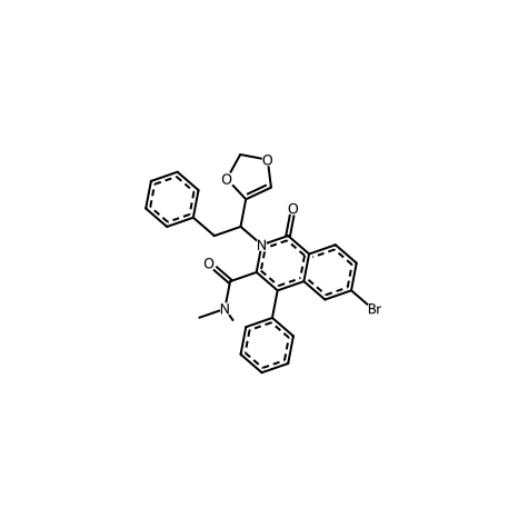 CN(C)C(=O)c1c(-c2ccccc2)c2cc(Br)ccc2c(=O)n1C(Cc1ccccc1)C1=COCO1